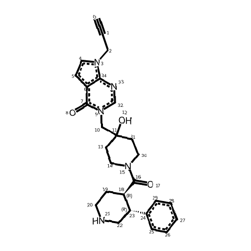 C#CCn1ccc2c(=O)n(CC3(O)CCN(C(=O)[C@@H]4CCNC[C@H]4c4ccccc4)CC3)cnc21